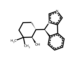 CC1(C)CCC[C@H]([C@@H]2c3ccccc3-c3cncn32)[C@H]1O